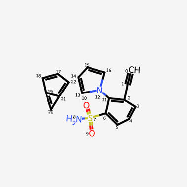 C#Cc1cccc(S(N)(=O)=O)c1-n1cccc1.c1cc2cc-2c1